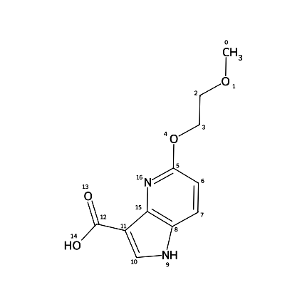 COCCOc1ccc2[nH]cc(C(=O)O)c2n1